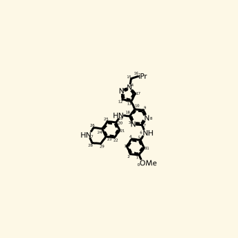 COc1cccc(Nc2ncc(-c3cnn(CC(C)C)c3)c(Nc3ccc4c(c3)CNCC4)n2)c1